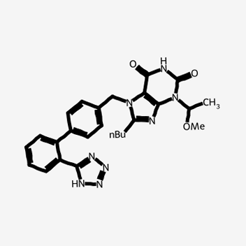 CCCCc1nc2c(c(=O)[nH]c(=O)n2C(C)OC)n1Cc1ccc(-c2ccccc2-c2nnn[nH]2)cc1